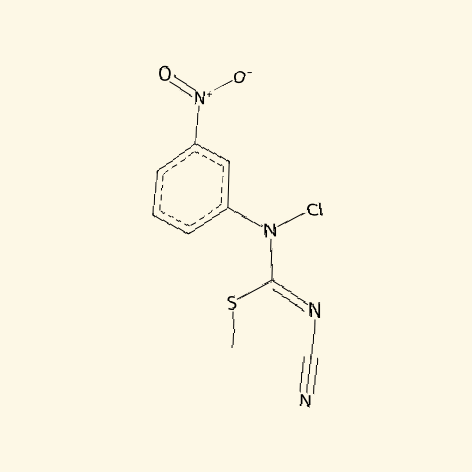 CSC(=NC#N)N(Cl)c1cccc([N+](=O)[O-])c1